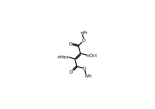 CCCCCCCCC(C(=O)OCCC)=C(CCCCCC)C(=O)OCCC